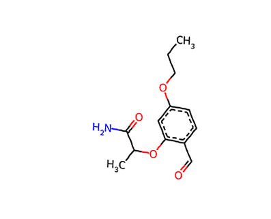 CCCOc1ccc(C=O)c(OC(C)C(N)=O)c1